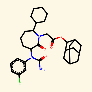 NC(=O)N(c1cccc(Cl)c1)C1CCCC(C2CCCCC2)N(CC(=O)OC2C3CC4CC(C3)CC2C4)C1=O